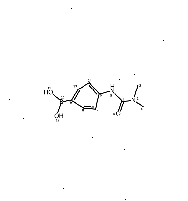 CN(C)C(=O)Nc1ccc(B(O)O)cc1